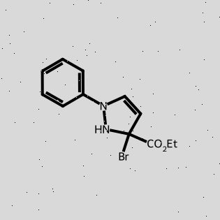 CCOC(=O)C1(Br)C=CN(c2ccccc2)N1